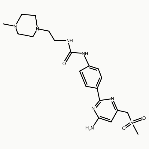 CN1CCN(CCNC(=O)Nc2ccc(-c3nc(N)cc(CS(C)(=O)=O)n3)cc2)CC1